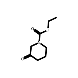 CCOC(=O)N1CCCC(=O)C1